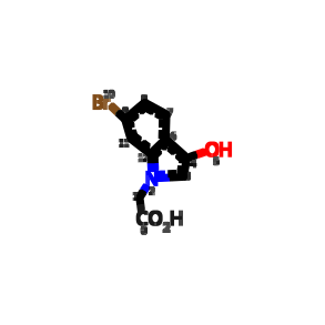 O=C(O)Cn1cc(O)c2ccc(Br)cc21